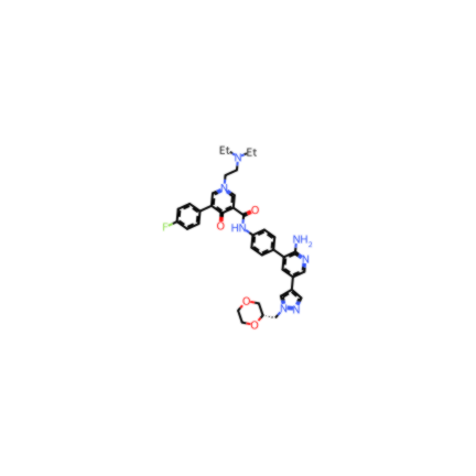 CCN(CC)CCn1cc(C(=O)Nc2ccc(-c3cc(-c4cnn(C[C@H]5COCCO5)c4)cnc3N)cc2)c(=O)c(-c2ccc(F)cc2)c1